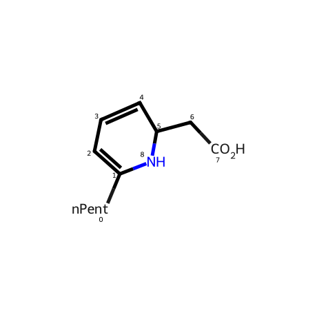 CCCCCC1=CC=CC(CC(=O)O)N1